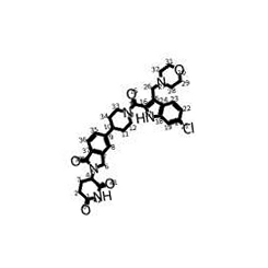 O=C1CCC(N2Cc3cc(C4CCN(C(=O)c5[nH]c6cc(Cl)ccc6c5CN5CCOCC5)CC4)ccc3C2=O)C(=O)N1